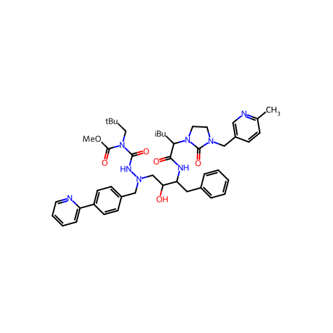 CCC(C)C(C(=O)NC(Cc1ccccc1)C(O)CN(Cc1ccc(-c2ccccn2)cc1)NC(=O)N(CC(C)(C)C)C(=O)OC)N1CCN(Cc2ccc(C)nc2)C1=O